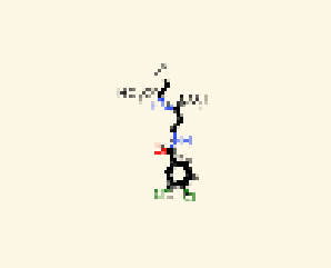 CC(C)C[C@H](NC(CCNC(=O)c1ccc(Cl)c(Cl)c1)C(=O)O)C(=O)O